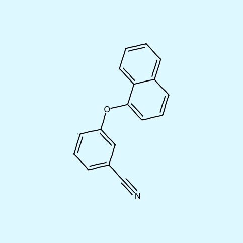 N#Cc1cc[c]c(Oc2cccc3ccccc23)c1